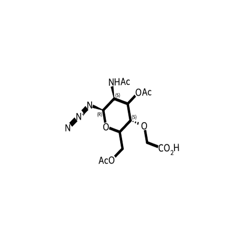 CC(=O)N[C@H]1C(OC(C)=O)[C@H](OCC(=O)O)C(COC(C)=O)O[C@H]1N=[N+]=[N-]